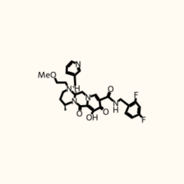 COCC[N+]1(Cc2cccnc2)CC[C@H](C)N2C(=O)c3c(O)c(=O)c(C(=O)NCc4ccc(F)cc4F)cn3C[C@@H]21